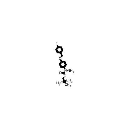 CC(C)(C)COC(=O)N(N)c1ccc(OCc2ccc(F)cc2)cc1